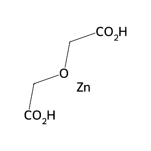 O=C(O)COCC(=O)O.[Zn]